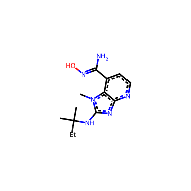 CCC(C)(C)Nc1nc2nccc(C(N)=NO)c2n1C